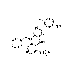 O=C(O)c1cnccc1Nc1nc(-c2cc(Cl)ccc2F)ncc1OCc1ccccc1